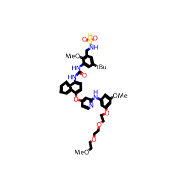 COCCOCCOCCOc1cc(Nc2cc(Oc3ccc(NC(=O)Nc4cc(C(C)(C)C)cc(CN[SH](=O)=O)c4OC)c4ccccc34)ccn2)cc(OC)c1